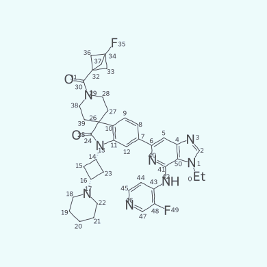 CCn1cnc2cc(-c3ccc4c(c3)N([C@H]3C[C@@H](N5CCCCC5)C3)C(=O)C43CCN(C(=O)C45CC(F)(C4)C5)CC3)nc(Nc3ccncc3F)c21